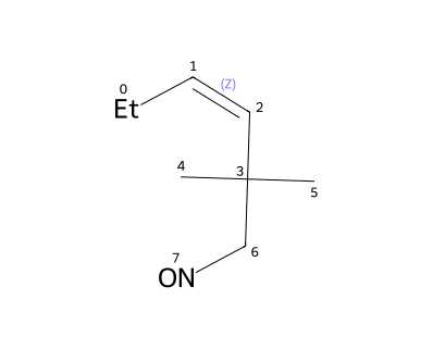 CC/C=C\C(C)(C)CN=O